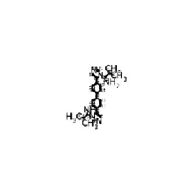 CC(C)C(N)n1cncc1-c1ccc(-c2ccc(-c3cncn3C(N)C(C)C)cc2)cc1